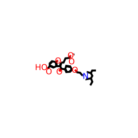 CCC1CC(CC)CN(CCCOc2ccc(C(=O)c3c(CCC(=O)OC)oc4ccc(C(=O)O)cc34)cc2)C1